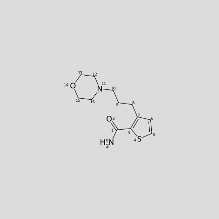 NC(=O)c1sccc1CCCN1CCOCC1